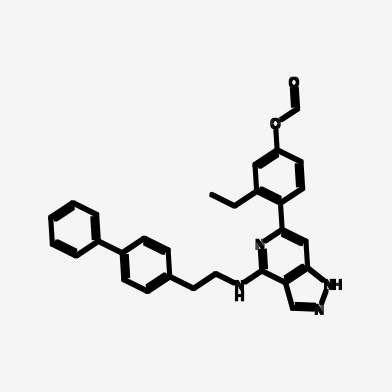 CCc1cc(OC=O)ccc1-c1cc2[nH]ncc2c(NCCc2ccc(-c3ccccc3)cc2)n1